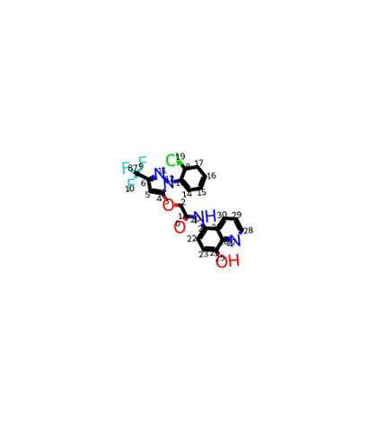 O=C(COc1cc(C(F)(F)F)nn1C1=CC=CCC1Cl)Nc1ccc(O)c2ncccc12